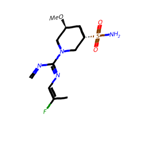 C=N/C(=N\C=C(/C)F)N1C[C@@H](OC)C[C@H](S(N)(=O)=O)C1